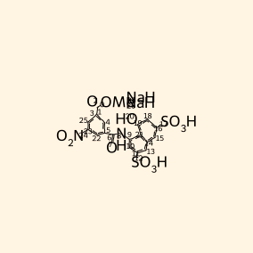 COC(=O)c1cc(C(=O)Nc2cc(S(=O)(=O)O)cc3cc(S(=O)(=O)O)cc(O)c23)cc([N+](=O)[O-])c1.[NaH].[NaH]